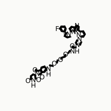 O=C(CN1CCN(c2cccc(-c3cnc4ccc(N5CCC[C@@H]5c5cccc(F)c5)nn34)n2)CC1)NCCOCCOCCOCCNc1ccc2c(c1)C(=O)N(C1CCC(=O)NC1=O)C2=O